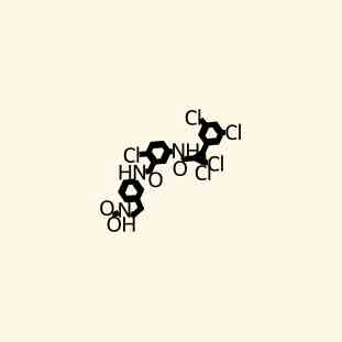 O=C(Nc1ccc2c(c1)CCN2C(=O)O)c1cc(NC(=O)C2C(c3cc(Cl)cc(Cl)c3)C2(Cl)Cl)ccc1Cl